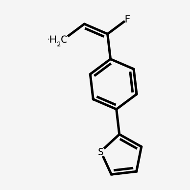 [CH2]/C=C(/F)c1ccc(-c2cccs2)cc1